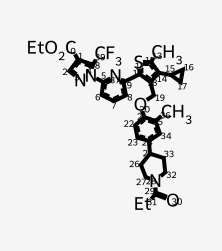 CCOC(=O)c1cnn(-c2cccc(-c3sc(C)c(C4CC4)c3COc3ccc(C4CCN(C(=O)CC)CC4)cc3C)n2)c1C(F)(F)F